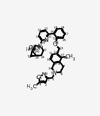 Cc1cc(CN2CCc3c(ccc(COc4ccccc4-c4cccc(N5CC[C@@]6(C(=O)O)C[C@H]6C5)n4)c3C)C2)no1